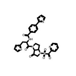 O=C(NC(Cc1cccs1)C(=O)N1CCC2C1C(=O)CN2S(=O)(=O)C(=O)c1ccccn1)c1ccc(-c2cccs2)cc1